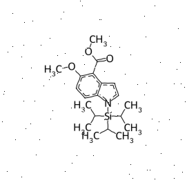 COC(=O)c1c(OC)ccc2c1ccn2[Si](C(C)C)(C(C)C)C(C)C